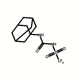 O=C(NC12CC3CC(CC(C3)C1)C2)NS(=O)(=O)C(F)(F)F